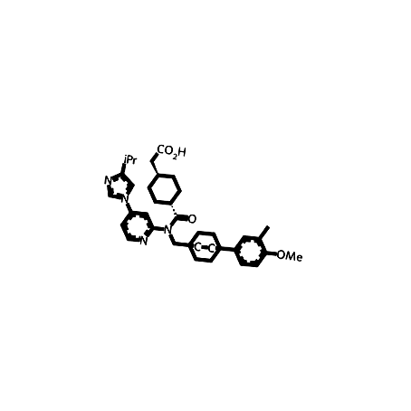 COc1ccc(C23CCC(CN(c4cc(-n5cnc(C(C)C)c5)ccn4)C(=O)[C@H]4CC[C@H](CC(=O)O)CC4)(CC2)CC3)cc1C